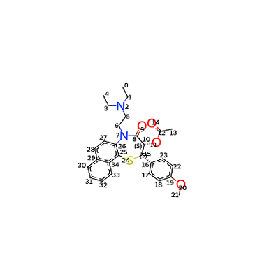 CCN(CC)CCN1C(=O)[C@H](OC(C)=O)[C@H](c2ccc(OC)cc2)Sc2c1ccc1ccccc21